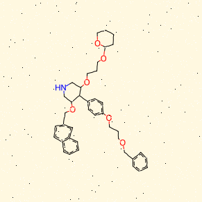 c1ccc(COCCCOc2ccc(C3C(OCCCOC4CCCCO4)CNCC3OCc3ccc4ccccc4c3)cc2)cc1